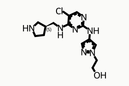 OCCn1cc(Nc2ncc(Cl)c(NC[C@H]3CCNC3)n2)cn1